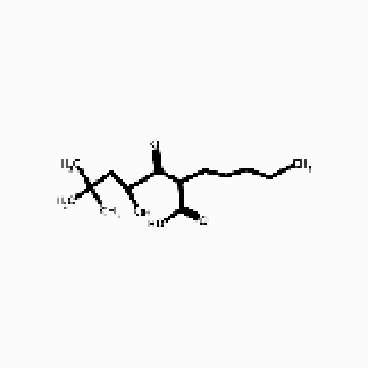 CCCCCC(C(=O)O)C(=O)C(O)CC(C)(C)C